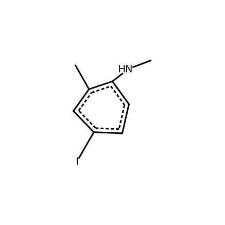 CNc1ccc(I)cc1C